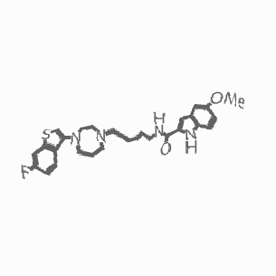 COc1ccc2[nH]c(C(=O)NCCCCN3CCCN(c4csc5cc(F)ccc45)CC3)cc2c1